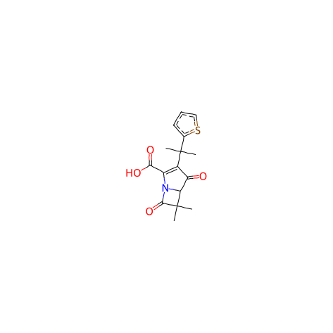 CC(C)(C1=C(C(=O)O)N2C(=O)C(C)(C)C2C1=O)c1cccs1